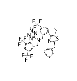 CCc1sc(Cc2ccccc2)nc1-c1ccc(C(F)(F)F)cc1CN(Cc1cc(C(F)(F)F)cc(C(F)(F)F)c1)c1nnn(C)n1